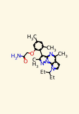 CCC(CC)n1ccc2c(C)nc3c(-c4c(C)cc(C)cc4OCC(N)=O)c(C)nn3c21